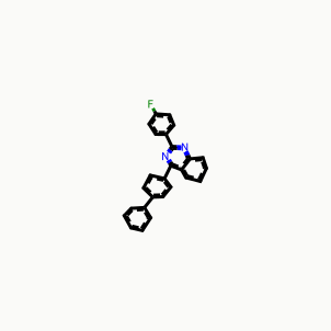 Fc1ccc(-c2nc(-c3ccc(-c4ccccc4)cc3)c3ccccc3n2)cc1